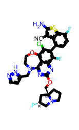 N#Cc1c(N)sc2c(F)ccc(-c3c(Cl)c4c5c(nc(OC[C@@]67CCCN6C[C@H](F)C7)nc5c3F)N(Cc3ccn[nH]3)CCO4)c12